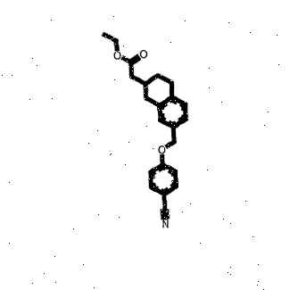 CCOC(=O)CC1CCc2ccc(COc3ccc(C#N)cc3)cc2C1